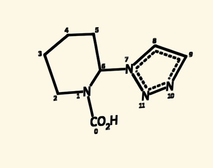 O=C(O)N1CCCCC1n1ccnn1